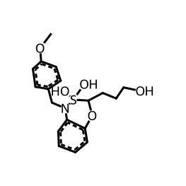 COc1ccc(CN2c3ccccc3OC(CCCO)S2(O)O)cc1